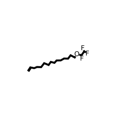 C=CCCCCCCCCCCCCCOC(F)C(F)F